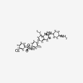 CCc1cc(-c2ccc(NS(=O)(=O)c3cccc(Cl)c3)cc2C)cc2cnc(N[C@H]3CC[C@H](N)CC3)nc12